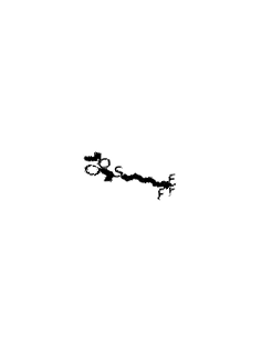 CC(C)OC(=O)C(C)SCCCCCCC(F)(F)F